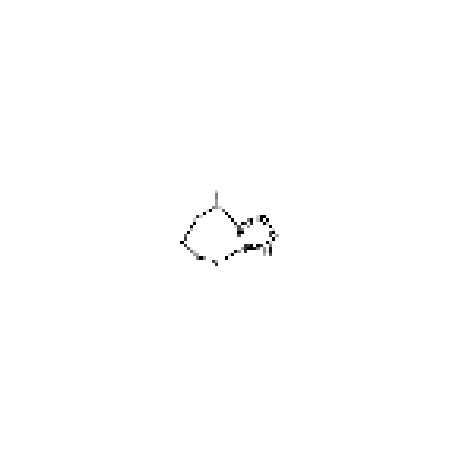 c1cc2n(n1)OCCCN2